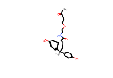 CC(C)(C)C(=O)CCOCCNC(=O)CCC(C)(c1ccc(O)cc1)c1ccc(O)cc1